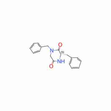 O=C1CN(Cc2ccccc2)C(=O)[C@H](Cc2ccccc2)N1